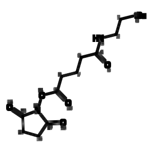 CC(C)(C)CCNC(=O)CCCC(=O)ON1C(=O)CCC1=O